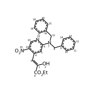 CCOC(=O)C(O)=Cc1cc(N(Cc2ccccc2)Cc2ccccc2)ncc1[N+](=O)[O-]